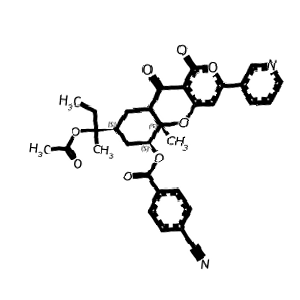 CCC(C)(OC(C)=O)[C@H]1CC2C(=O)c3c(cc(-c4cccnc4)oc3=O)O[C@]2(C)[C@@H](OC(=O)c2ccc(C#N)cc2)C1